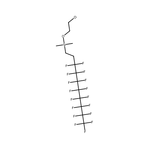 C[Si](C)(CCC(F)(F)C(F)(F)C(F)(F)C(F)(F)C(F)(F)C(F)(F)C(F)(F)C(F)(F)F)OCC[O]